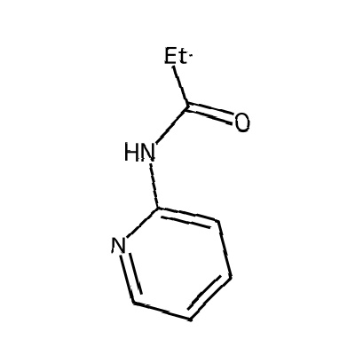 C[CH]C(=O)Nc1ccccn1